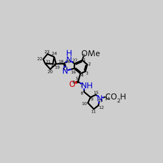 COc1ccc(C(=O)NCC2CCCN(C(=O)O)C2)c2nc(C3CC4CCC3C4)[nH]c12